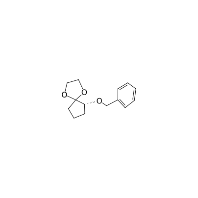 c1ccc(CO[C@@H]2CCCC23OCCO3)cc1